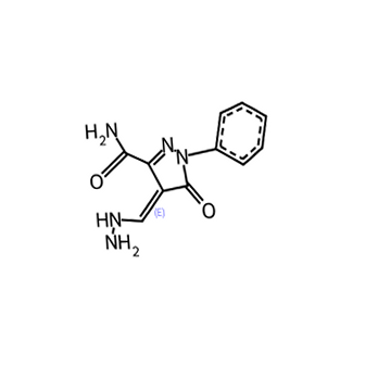 NN/C=C1/C(=O)N(c2ccccc2)N=C1C(N)=O